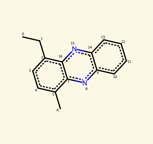 CCc1ccc(C)c2nc3ccccc3nc12